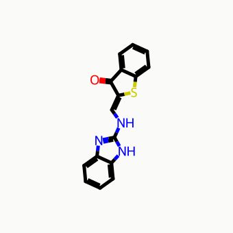 O=C1C(=CNc2nc3ccccc3[nH]2)Sc2ccccc21